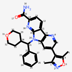 Cc1noc(C)c1-c1cnc2c3ccc(C(N)=O)nc3n(C(c3ccccc3)C3CCOCC3)c2c1